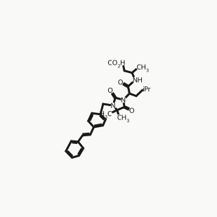 CC(C)CC(C(=O)NC(C)CC(=O)O)N1C(=O)N(Cc2ccc(C=Cc3ccccc3)cc2)C(C)(C)C1=O